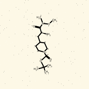 CON(C)C(=O)[C@@H](N)CC1CCN(C(=O)OC(C)(C)C)CC1